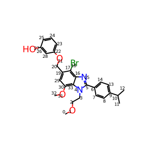 COCCn1c(-c2ccc(C(C)C)cc2)nc2c(Br)c(COc3cccc(O)c3)cc(OC)c21